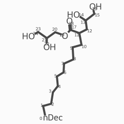 CCCCCCCCCCCCCCCCCCCCC(CC(O)CO)C(=O)OCC(O)CO